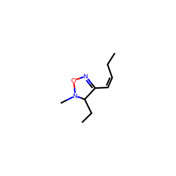 CC/C=C\C1=NON(C)C1CC